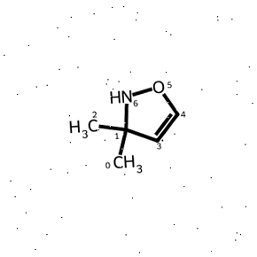 CC1(C)[C]=CON1